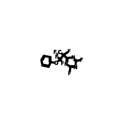 Fc1nc(F)nc(C(F)(C(F)(F)F)C(F)(F)Oc2ccccc2)n1